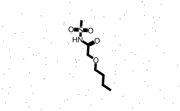 CCCCOCC(=O)NS(C)(=O)=O